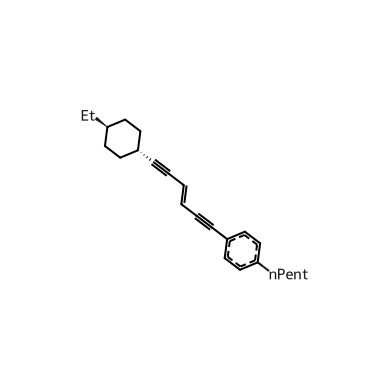 CCCCCc1ccc(C#C/C=C/C#C[C@H]2CC[C@H](CC)CC2)cc1